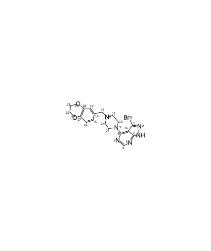 Brc1n[nH]c2ncnc(N3CCN(Cc4ccc5c(c4)OCCO5)CC3)c12